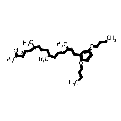 CCCCOc1ccc(OCCCC)c(CC=C(C)CCC[C@H](C)CCC[C@H](C)CCCC(C)C)c1